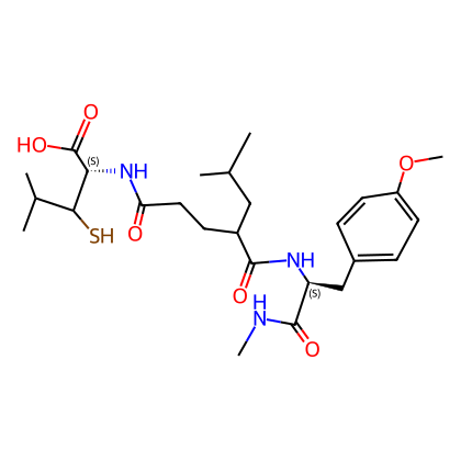 CNC(=O)[C@H](Cc1ccc(OC)cc1)NC(=O)C(CCC(=O)N[C@@H](C(=O)O)C(S)C(C)C)CC(C)C